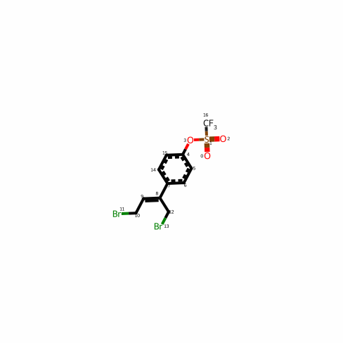 O=S(=O)(Oc1ccc(C(=CCBr)CBr)cc1)C(F)(F)F